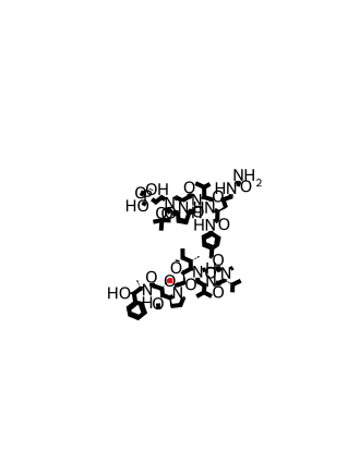 CC[C@H](C)[C@H]([C@@H](CC(=O)N1CCC[C@H]1[C@@H](OC)[C@@H](C)C(=O)N[C@@H](C)[C@H](O)c1ccccc1)OC)N(C)C(=O)[C@@H](NC(=O)[C@@H](C(C)C)N(C)C(=O)OCc1ccc(NC(=O)[C@H](CCCNC(N)=O)NC(=O)[C@@H](NC(=O)C(CN(CCP(=O)(O)O)C(=O)OC(C)(C)C)N2C(=O)C=CC2=O)C(C)C)cc1)C(C)C